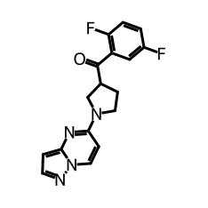 O=C(c1cc(F)ccc1F)C1CCN(c2ccn3nccc3n2)C1